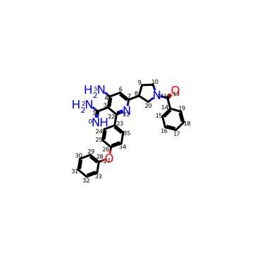 N=C(N)c1c(N)cc(C2CCN(C(=O)c3ccccc3)C2)nc1-c1ccc(Oc2ccccc2)cc1